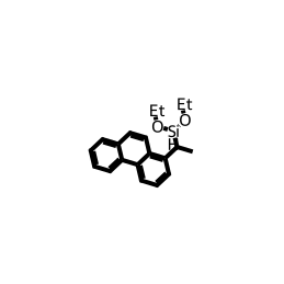 CCO[SiH](OCC)C(C)c1cccc2c1ccc1ccccc12